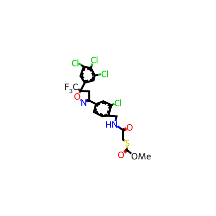 COC(=O)SCC(=O)NCc1ccc(C2=NOC(c3cc(Cl)c(Cl)c(Cl)c3)(C(F)(F)F)C2)cc1Cl